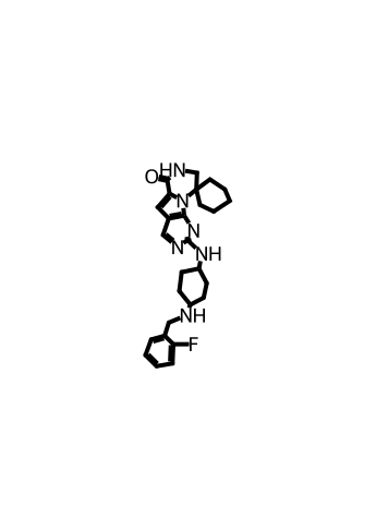 O=C1NCC2(CCCCC2)n2c1cc1cnc(NC3CCC(NCc4ccccc4F)CC3)nc12